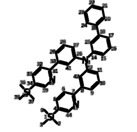 C[Si](C)(C)c1ccc(-c2cccc(N(c3cccc(-c4ccccc4)c3)c3cccc(-c4ccc([Si](C)(C)C)cn4)c3)c2)nc1